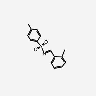 Cc1ccc(S(=O)(=O)N=Cc2ccccc2C)cc1